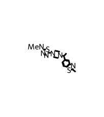 CNc1nnc(N2CCN(C(C)c3ccc4sc(C)nc4c3)CC2)s1